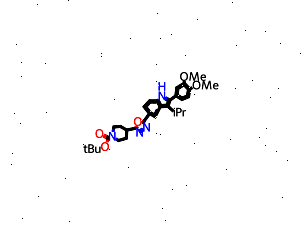 COc1ccc(-c2[nH]c3ccc(-c4nnc(C5CCN(C(=O)OC(C)(C)C)CC5)o4)cc3c2C(C)C)cc1OC